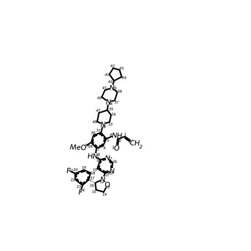 C=CC(=O)Nc1cc(Nc2cc(N3OCC[C@@H]3c3ccc(F)cc3F)ncn2)c(OC)cc1N1CCC(N2CCN(C3CCCC3)CC2)CC1